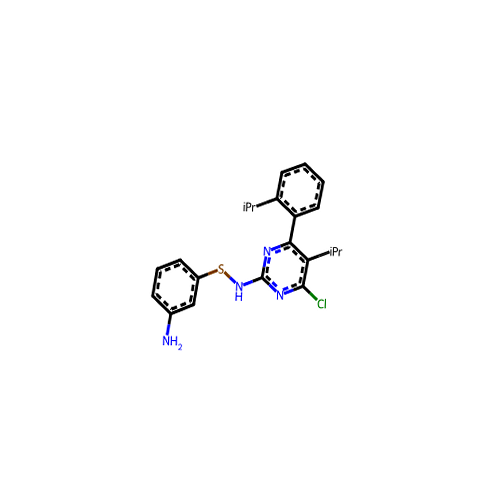 CC(C)c1ccccc1-c1nc(NSc2cccc(N)c2)nc(Cl)c1C(C)C